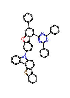 c1ccc(-c2cc(-c3nc(-c4ccccc4)nc(-c4ccccc4)n3)c3c(c2)oc2cc(-n4c5ccccc5c5c6sc7ccccc7c6ccc54)ccc23)cc1